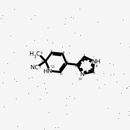 CC1(C#N)C=CC(c2c[nH]cn2)=CN1